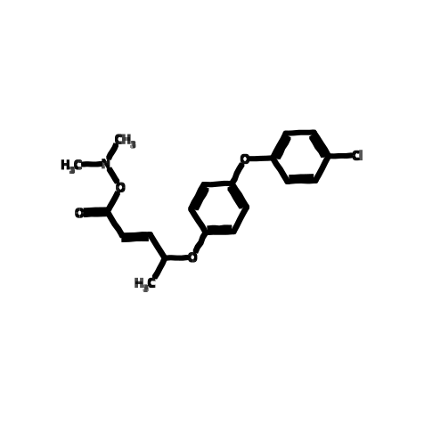 CC(C=CC(=O)ON(C)C)Oc1ccc(Oc2ccc(Cl)cc2)cc1